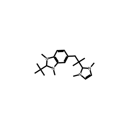 CN1C=CN(C)C1C(C)(C)Cc1ccc2c(c1)N(C)C(C(C)(C)C)N2C